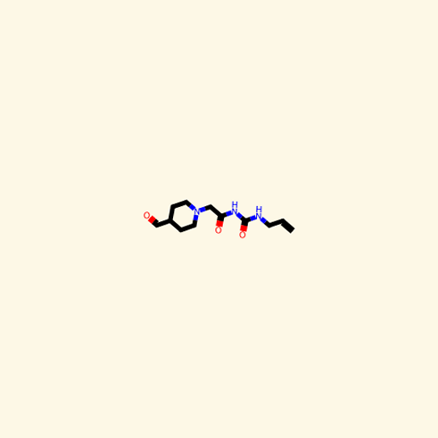 C=CCNC(=O)NC(=O)CN1CCC(C=O)CC1